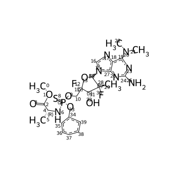 COC(=O)[C@@H](C)N[P@](=S)(OC[C@@]1(F)O[C@@H](n2cnc3c(N(C)C)nc(N)nc32)[C@](C)(F)[C@@H]1O)Oc1ccccc1